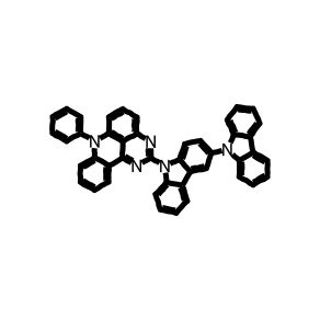 c1ccc(N2c3ccccc3-c3nc(-n4c5ccccc5c5cc(-n6c7ccccc7c7ccccc76)ccc54)nc4cccc2c34)cc1